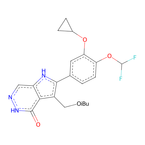 CC(C)COCc1c(-c2ccc(OC(F)F)c(OC3CC3)c2)[nH]c2cn[nH]c(=O)c12